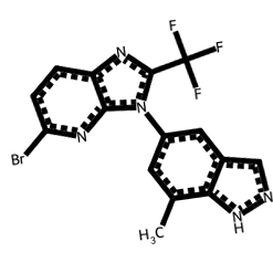 Cc1cc(-n2c(C(F)(F)F)nc3ccc(Br)nc32)cc2cn[nH]c12